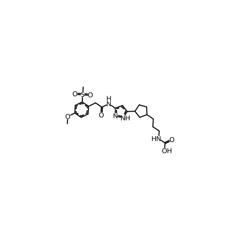 COc1ccc(CC(=O)Nc2cc(C3CCC(CCCNC(=O)O)C3)[nH]n2)c(S(C)(=O)=O)c1